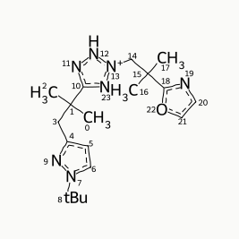 CC(C)(Cc1ccn(C(C)(C)C)n1)c1n[nH][n+](CC(C)(C)c2ncco2)n1